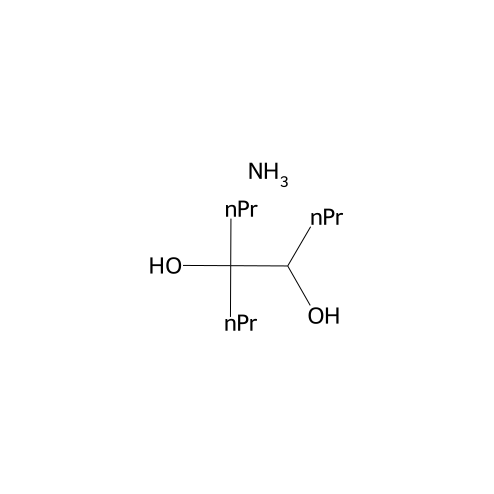 CCCC(O)C(O)(CCC)CCC.N